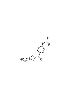 O=C(c1ccc(OC(F)F)cc1)C1CN(C(=O)O)C1